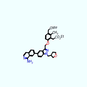 CCOC(=O)Cc1c(OCc2nn(CC3CCOC3)c3ccc(-c4ccc5ccnc(N)c5c4)cc23)ccc(COC)c1C